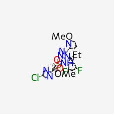 CC[C@H](c1cc(F)cc(F)c1)n1c(NS(=O)(=O)[C@@H](C)[C@H](OC)c2ncc(Cl)cn2)nnc1-c1cccc(OC)n1